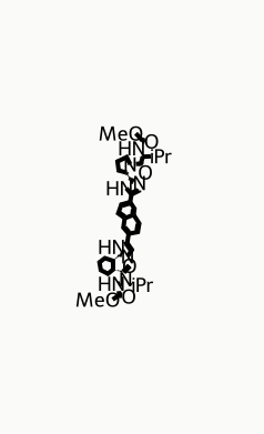 COC(=O)NC(C(=O)N1CCC[C@H]1c1ncc(-c2ccc3cc(-c4cnc([C@H]5CCCC[C@H]5C(=O)N(NC(=O)OC)C(C)C)[nH]4)ccc3c2)[nH]1)C(C)C